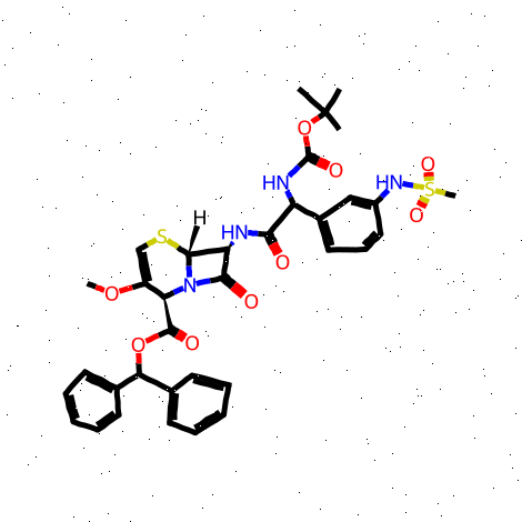 COC1=CS[C@@H]2[C@H](NC(=O)C(NC(=O)OC(C)(C)C)c3cccc(NS(C)(=O)=O)c3)C(=O)N2[C@H]1C(=O)OC(c1ccccc1)c1ccccc1